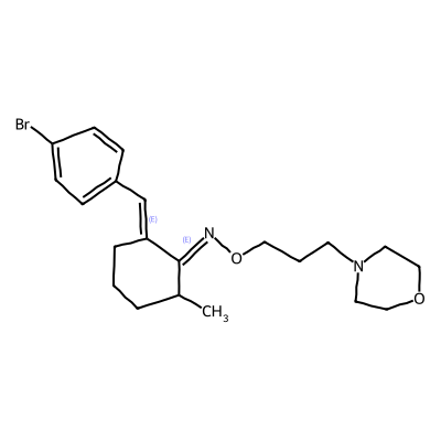 CC1CCCC(=C\c2ccc(Br)cc2)/C1=N/OCCCN1CCOCC1